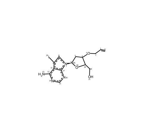 C=CCOC1C[C@H](n2cc(I)c3c(N)ncnc32)OC1CO